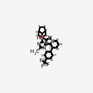 Cc1noc(N2CC3CCC(C2)C3Nc2nc3c(-c4ccc(C(F)(F)F)cc4)cccn3n2)n1